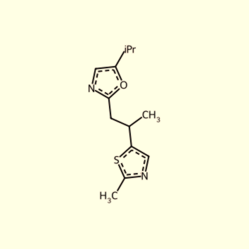 Cc1ncc(C(C)Cc2ncc(C(C)C)o2)s1